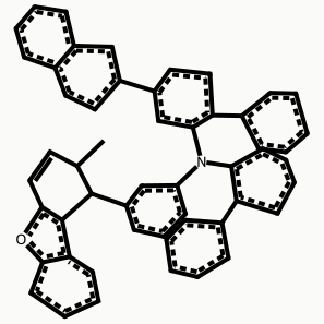 CC1C=Cc2oc3ccccc3c2C1c1cccc(N(c2ccccc2-c2ccccc2)c2cc(-c3ccc4ccccc4c3)ccc2-c2ccccc2)c1